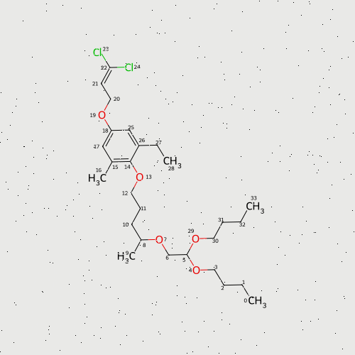 CCCCOC(COC(C)CCCOc1c(C)cc(OCC=C(Cl)Cl)cc1CC)OCCCC